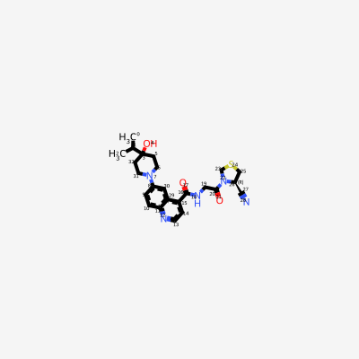 CC(C)C1(O)CCN(c2ccc3nccc(C(=O)NCC(=O)N4CSC[C@H]4C#N)c3c2)CC1